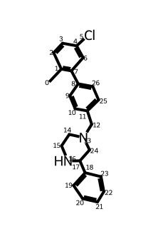 Cc1ccc(Cl)cc1-c1ccc(CN2CCNC(c3ccccc3)C2)cc1